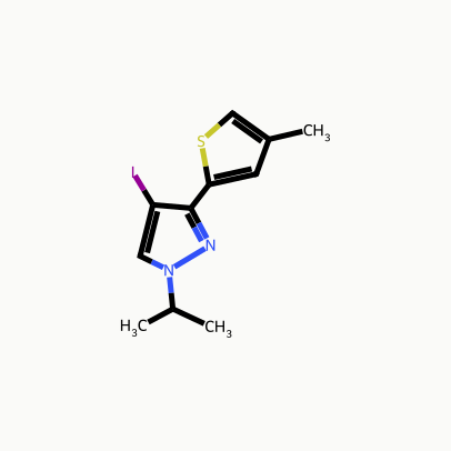 Cc1csc(-c2nn(C(C)C)cc2I)c1